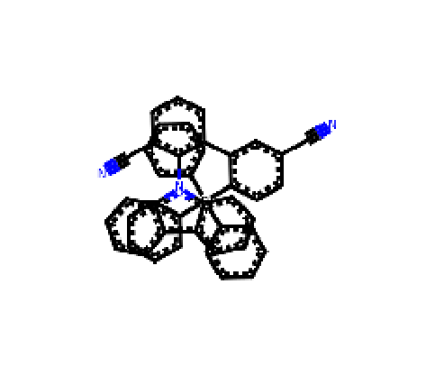 N#Cc1ccc([Si](c2ccccc2)(c2ccccc2)c2ccccc2)c(-c2cccc(C#N)c2-n2c3ccccc3c3ccccc32)c1